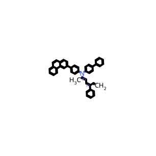 C=C/C(=C\C=C(/C)N(c1ccc(-c2ccccc2)cc1)c1ccc(-c2ccc3ccc4ccccc4c3c2)cc1)c1ccccc1